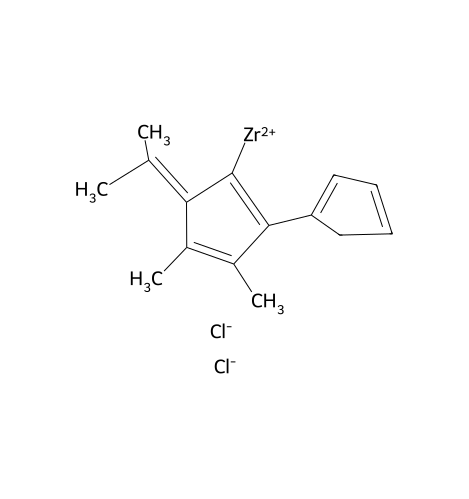 CC(C)=C1C(C)=C(C)C(C2=CC=CC2)=[C]1[Zr+2].[Cl-].[Cl-]